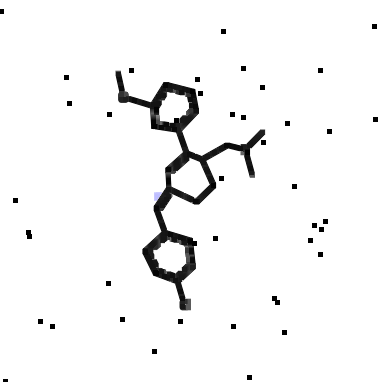 COc1cccc(C2=C/C(=C/c3ccc(Cl)cc3)CCC2CN(C)C)c1